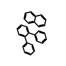 c1ccc(-c2ccccc2-c2ccccc2)cc1.c1ccc2ccccc2c1